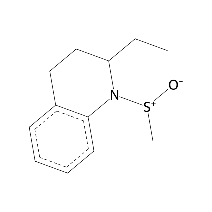 CCC1CCc2ccccc2N1[S+](C)[O-]